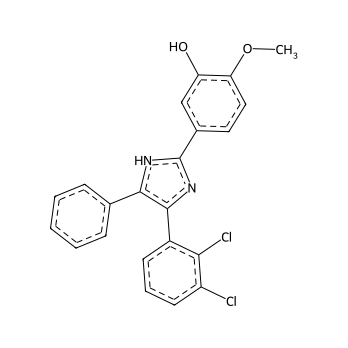 COc1ccc(-c2nc(-c3cccc(Cl)c3Cl)c(-c3ccccc3)[nH]2)cc1O